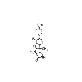 CC(C(N)=O)(c1ccc(N2CCN(C=O)CC2)c(F)c1)C1CNC(=O)O1